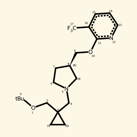 CC(C)(C)OCC1(CN2CC[C@@H](COc3ncccc3C(F)(F)F)C2)CC1